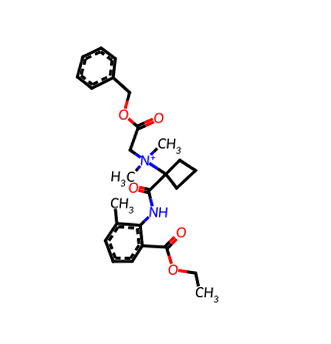 CCOC(=O)c1cccc(C)c1NC(=O)C1([N+](C)(C)CC(=O)OCc2ccccc2)CCC1